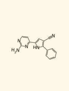 N#Cc1cc(-c2ccnc(N)n2)[nH]c1-c1ccccc1